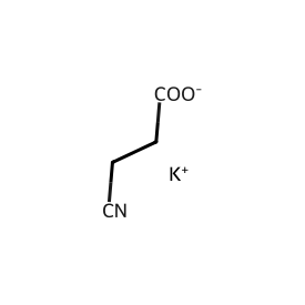 N#CCCC(=O)[O-].[K+]